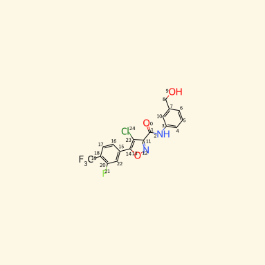 O=C(Nc1cccc(CO)c1)c1noc(-c2ccc(C(F)(F)F)c(F)c2)c1Cl